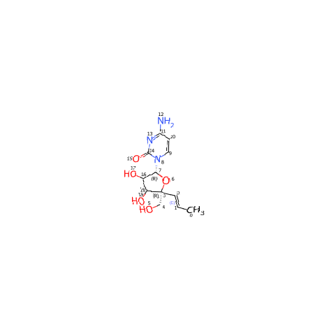 C/C=C/[C@]1(CO)O[C@@H](n2ccc(N)nc2=O)C(O)C1O